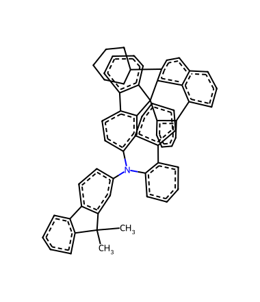 CC1(C)c2ccccc2-c2ccc(N(c3ccc4c(c3)C3(c5ccccc5-4)c4ccccc4-c4cccc5ccc(C6CCCCC6)c3c45)c3ccccc3-c3ccccc3)cc21